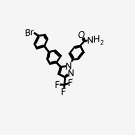 NC(=O)c1ccc(-n2nc(C(F)(F)F)cc2-c2ccc(-c3ccc(Br)cc3)cc2)cc1